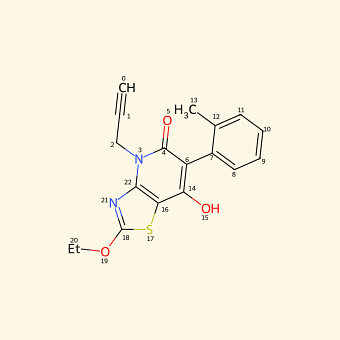 C#CCn1c(=O)c(-c2ccccc2C)c(O)c2sc(OCC)nc21